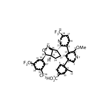 COc1ncc(-c2ccc(C(=O)O)cc2C)cc1-c1ccc(C(F)(F)F)nc1[C@@H]1CC[C@@H]2C1=NO[C@@H]2c1cc(C(F)(F)F)cc(C(F)(F)F)c1